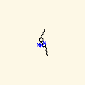 CCCCCc1cnc([C@]2(C#N)CC[C@H](CCCCC)CC2)nc1